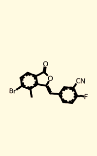 Cc1c(Br)ccc2c1C(=Cc1ccc(F)c(C#N)c1)OC2=O